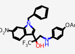 CC(=O)Oc1ccc(NCC(O)(c2cn(Cc3ccccc3)c3cc([N+](=O)[O-])ccc23)C(F)(F)F)cc1